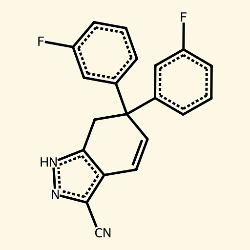 N#Cc1n[nH]c2c1C=CC(c1cccc(F)c1)(c1cccc(F)c1)C2